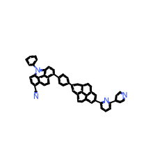 N#Cc1ccc2c3c1ccc1c(-c4ccc(-c5cc6ccc7cc(-c8cccc(-c9ccncc9)n8)cc8ccc(c5)c6c78)cc4)ccc(c13)n2-c1ccccc1